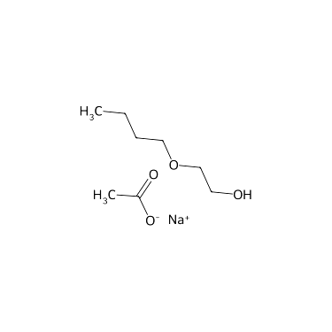 CC(=O)[O-].CCCCOCCO.[Na+]